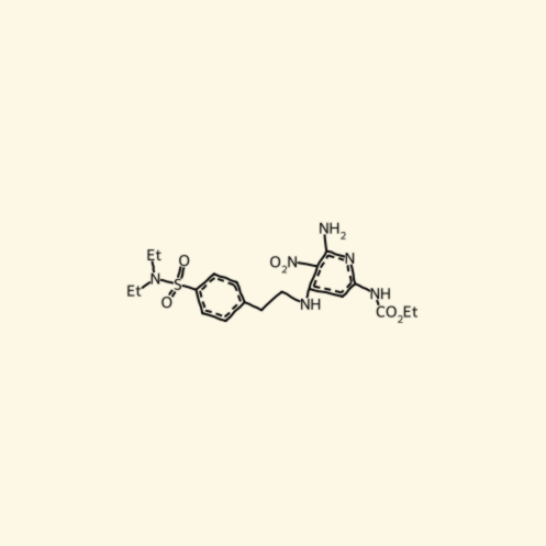 CCOC(=O)Nc1cc(NCCc2ccc(S(=O)(=O)N(CC)CC)cc2)c([N+](=O)[O-])c(N)n1